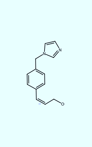 [O]C/C=C\c1ccc(Cn2ccnc2)cc1